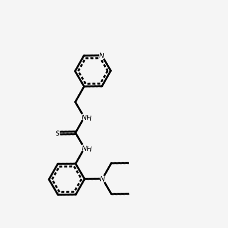 CCN(CC)c1ccccc1NC(=S)NCc1ccncc1